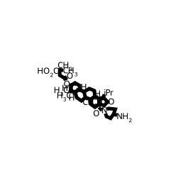 CC(C)C1=C2[C@H]3CC[C@@H]4[C@@]5(C)CC[C@H](OC(=O)CC(C)(C)C(=O)O)C(C)(C)[C@@H]5CC[C@@]4(C)[C@]3(C)CC[C@@]2(C(=O)N2CCC(N)CC2)CC1=O